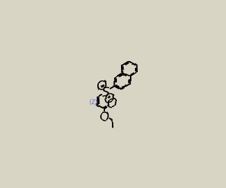 CCOC(=O)/C=C\S(=O)(=O)c1ccc2ccccc2c1